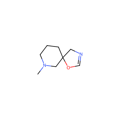 CN1CCCC2(CN=CO2)C1